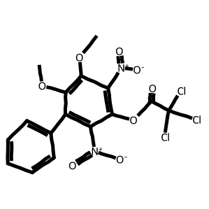 COc1c(OC)c([N+](=O)[O-])c(OC(=O)C(Cl)(Cl)Cl)c([N+](=O)[O-])c1-c1ccccc1